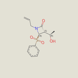 C=CCN1C(=O)[C@H]([C@@H](C)O)[C@H]1S(=O)(=O)c1ccccc1